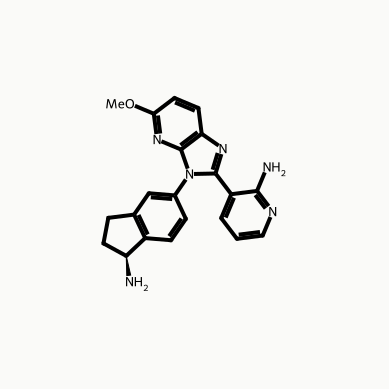 COc1ccc2nc(-c3cccnc3N)n(-c3ccc4c(c3)CC[C@@H]4N)c2n1